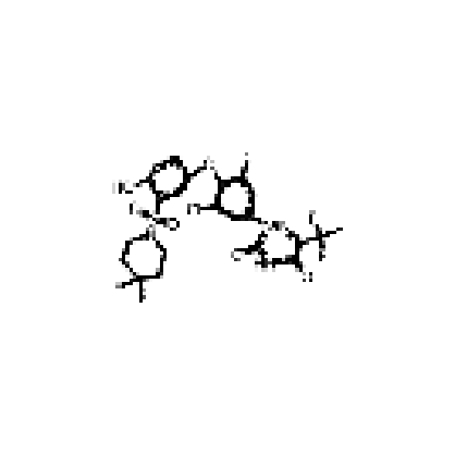 O=c1[nH]c(=O)n(-c2cc(Cl)c(Oc3ccc(O)c(S(=O)(=O)N4CCC(F)(F)CC4)c3)c(Cl)c2)nc1C(F)(F)F